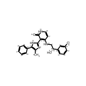 Cc1nc(-c2c(NC[C@@H](O)c3cccc(Cl)c3)cc[nH]c2=O)[nH]c1-c1ccccc1